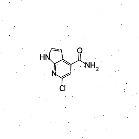 NC(=O)c1cc(Cl)nc2[nH]ccc12